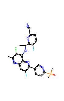 Cc1nc2cc(F)c(-c3ccc(P(C)(C)=O)nc3)nc2c(NC(C)c2nc(C#N)ccc2F)c1Cl